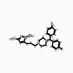 CCCc1cc(CCCN2CCN(C(c3ccc(F)cc3)c3ccc(F)cc3)CC2)n(C(C)(C)C)n1